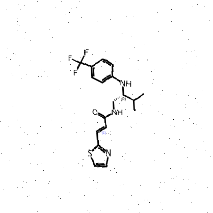 CC(C)[C@H](CNC(=O)/C=C/c1nccs1)Nc1ccc(C(F)(F)F)cc1